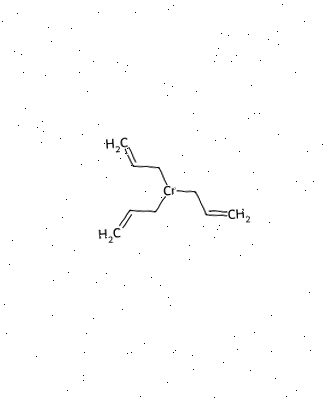 C=C[CH2][Cr]([CH2]C=C)[CH2]C=C